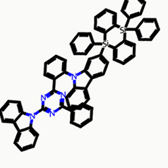 c1ccc(-c2nc(-c3ccccc3-n3c4ccccc4c4ccc([Si]5(c6ccccc6)c6ccccc6[Si](c6ccccc6)(c6ccccc6)c6ccccc65)cc43)nc(-n3c4ccccc4c4ccccc43)n2)cc1